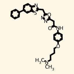 CN(C)CCCCOc1ccc(NC(=O)Cc2nnc(Cc3nc4ccc(-c5ccccc5)cc4s3)o2)cc1